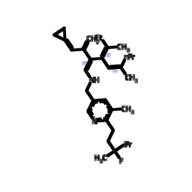 C=C(C=C1CC1)C(=C/NCc1cnc(CCC(C)(F)C(C)C)c(C)c1)/C(/C=C(/C)CCC)=C(/C)CC